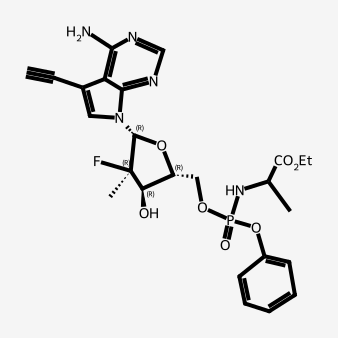 C#Cc1cn([C@@H]2O[C@H](COP(=O)(NC(C)C(=O)OCC)Oc3ccccc3)[C@@H](O)[C@@]2(C)F)c2ncnc(N)c12